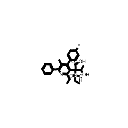 CCc1nc(-c2ccccc2)c(C)c(-c2ccc(F)cc2)c1C(C(=O)O)(C(C)O)P(=O)(O)CC